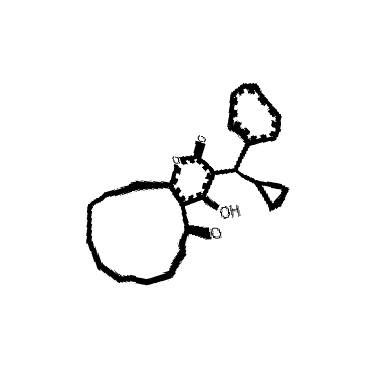 O=C1CCCCCCCCCc2oc(=O)c(C(c3ccccc3)C3CC3)c(O)c21